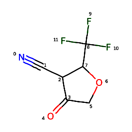 N#CC1C(=O)COC1C(F)(F)F